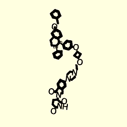 O=C1CCC(N2Cc3cc(N4CCN(CCO[C@H]5C[C@H](Oc6ccc([C@@H]7c8ccc(OCc9ccccc9)cc8CC[C@@H]7c7ccccc7)cc6)C5)CC4)ccc3C2=O)C(=O)N1